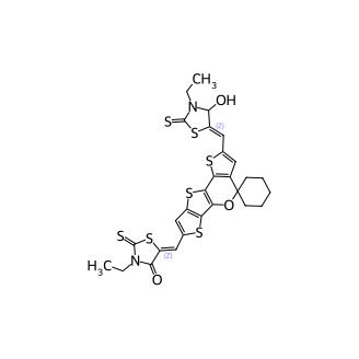 CCN1C(=O)/C(=C/c2cc3sc4c(c3s2)OC2(CCCCC2)c2cc(/C=C3\SC(=S)N(CC)C3O)sc2-4)SC1=S